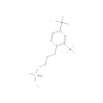 CCOP(=O)(OC)OCCCc1ccc(C(C)(C)CC)cc1C(C)(C)CC